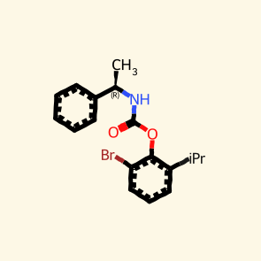 CC(C)c1cccc(Br)c1OC(=O)N[C@H](C)c1ccccc1